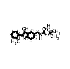 Cc1ccccc1-c1[nH]c2ccc(CNC(=O)OC(C)(C)C)cc2c1C